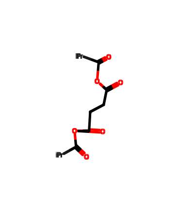 CC(C)C(=O)OC(=O)CCC(=O)OC(=O)C(C)C